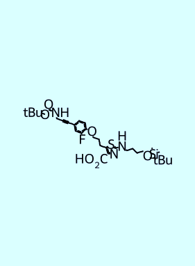 CC(C)(C)OC(=O)NCC#Cc1ccc(OCCCc2sc(NCCCCO[Si](C)(C)C(C)(C)C)nc2C(=O)O)c(F)c1